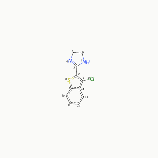 Clc1c(C2=NCCN2)sc2ccccc12